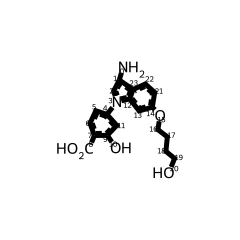 Nc1cn(-c2ccc(C(=O)O)c(O)c2)c2cc(OCCCCO)ccc12